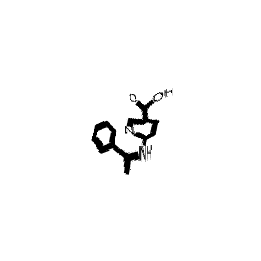 CC(Nc1ccc(C(=O)O)cn1)c1ccccc1